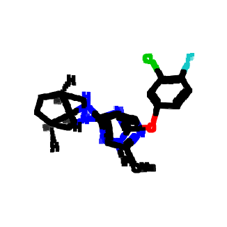 COc1cc(N2C[C@H]3CC[C@@H](C2)[C@@H]3Nc2nc(Oc3ccc(F)c(Cl)c3)n(C(C)C)n2)ccn1